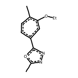 CCOc1cc(-c2nnc(C)o2)ccc1C